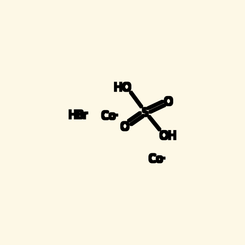 Br.O=S(=O)(O)O.[Co].[Co]